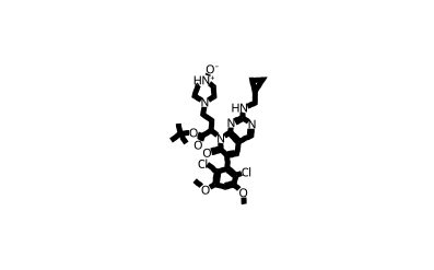 COc1cc(OC)c(Cl)c(-c2cc3cnc(NCC4CC4)nc3n(C(CCN3CC[NH+]([O-])CC3)C(=O)OC(C)(C)C)c2=O)c1Cl